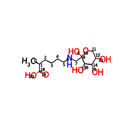 C[C@@H](CCCCNCC1(O)OCC(O)C(O)C1O)C(=O)O